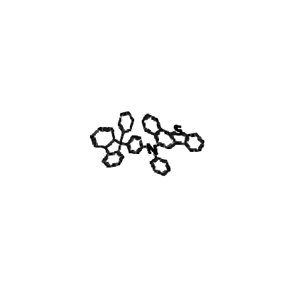 C1=CCCC(C2(c3ccc(N(c4ccccc4)c4cc5c6ccccc6sc5c5ccccc45)cc3)c3ccccc3C3C=CC=CC32)=C1